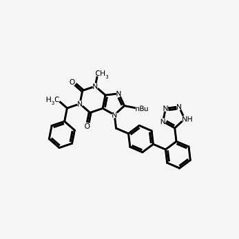 CCCCc1nc2c(c(=O)n(C(C)c3ccccc3)c(=O)n2C)n1Cc1ccc(-c2ccccc2-c2nnn[nH]2)cc1